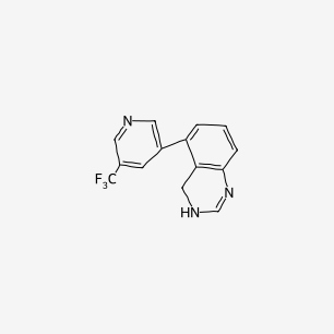 FC(F)(F)c1cncc(-c2cccc3c2CNC=N3)c1